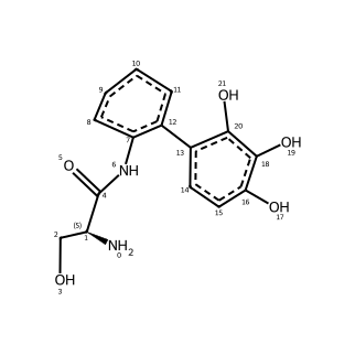 N[C@@H](CO)C(=O)Nc1ccccc1-c1ccc(O)c(O)c1O